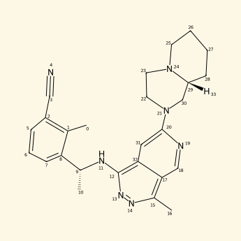 Cc1c(C#N)cccc1[C@@H](C)Nc1nnc(C)c2cnc(N3CCN4CCCC[C@@H]4C3)cc12